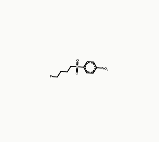 O=[N+]([O-])c1ccc(S(=O)(=O)CCCCF)cc1